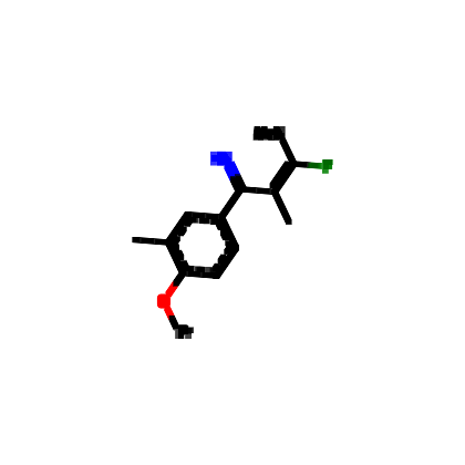 CN/C(F)=C(/C)C(=N)c1ccc(OC(C)C)c(C)c1